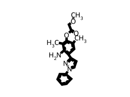 COCC(=O)Oc1c(C)cc(-c2ccn(-c3ccccc3)n2)c(N)c1C